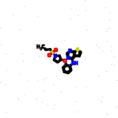 CCCS(=O)(=O)N1CCC(Oc2ccccc2Nc2ncnc3sccc23)C1